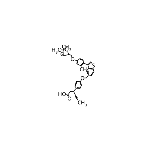 CC#CC(CC(=O)O)c1ccc(OCc2ccc3scc(-c4ccc(OCC5COC(C)(C)O5)cc4C)c3c2)cc1